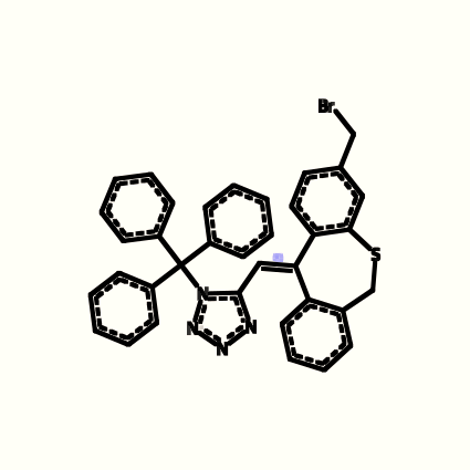 BrCc1ccc2c(c1)SCc1ccccc1/C2=C\c1nnnn1C(c1ccccc1)(c1ccccc1)c1ccccc1